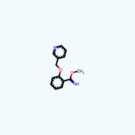 COC(=N)c1ccccc1OCc1cccnc1